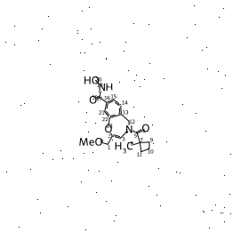 COCC1=CN(C(=O)C2(C)CCC2)Cc2ccc(C(=O)NO)cc2O1